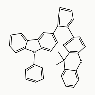 CC1(C)c2ccccc2Oc2ccc(-c3ccccc3-c3ccc4c(c3)c3ccccc3n4-c3ccccc3)cc21